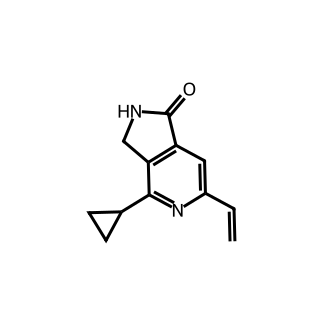 C=Cc1cc2c(c(C3CC3)n1)CNC2=O